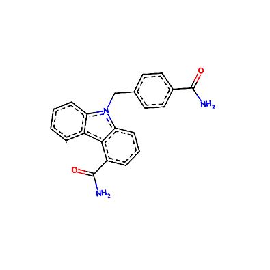 NC(=O)c1ccc(Cn2c3ccc[c]c3c3c(C(N)=O)cccc32)cc1